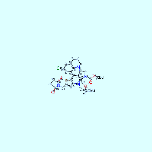 CC(C)(C)OC(=O)N1CC(N2CCCc3cc(Cl)cc(-c4ccnc5cc(CN6C(=O)CCC6=O)sc45)c32)CC1CO[Si](C)(C)C(C)(C)C